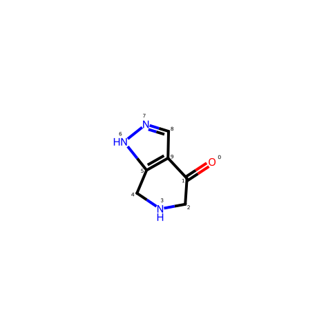 O=C1CNCc2[nH]ncc21